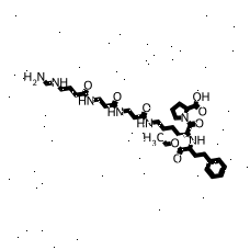 CCOC(=O)C(CCc1ccccc1)N[C@@H](CCCCNC(=O)CCNC(=O)CCNC(=O)CCCNCN)C(=O)N1CCCC1C(=O)O